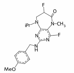 COc1ccc(CNc2nc(F)c3c(n2)N(C(C)C)CC(F)C(=O)N3C)cc1